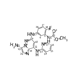 COC(=O)Nc1cc(Nc2cc(Nc3ccccn3)c3ncc(N)n3n2)ccc1F